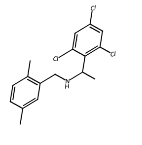 Cc1ccc(C)c(CNC(C)c2c(Cl)cc(Cl)cc2Cl)c1